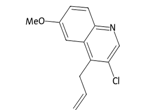 C=CCc1c(Cl)cnc2ccc(OC)cc12